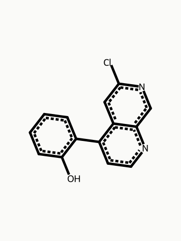 Oc1ccccc1-c1ccnc2cnc(Cl)cc12